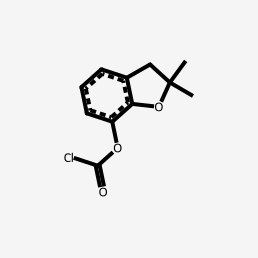 CC1(C)Cc2cccc(OC(=O)Cl)c2O1